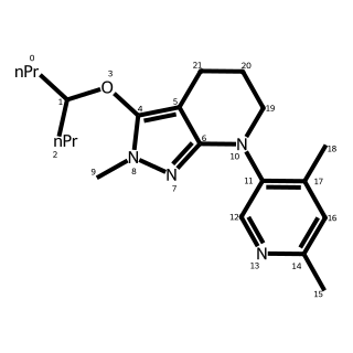 CCCC(CCC)Oc1c2c(nn1C)N(c1cnc(C)cc1C)CCC2